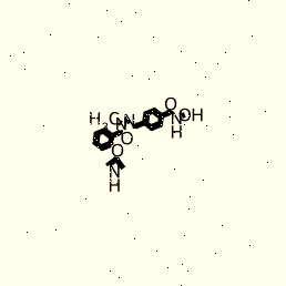 CN(/N=C/c1ccc(C(=O)NO)cc1)C(=O)c1ccccc1OC1CNC1